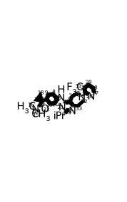 CC(C)c1nc2c(c(Nc3ccc(C4(C(=O)N(C)C)CC4)cc3)n1)CCN(c1ncccc1C(F)(F)F)CC2